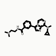 CN(C)CCNC(=O)c1cccc(-c2cnc3c(N(C)C4CC4)nccn23)c1